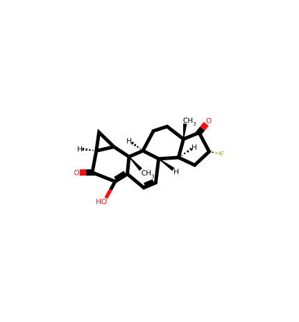 C[C@]12CC[C@H]3[C@@H](C=CC4=C(O)C(=O)[C@H]5CC5[C@@]43C)[C@@H]1C[C@@H](F)C2=O